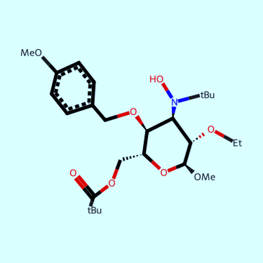 CCO[C@@H]1[C@@H](OC)O[C@H](COC(=O)C(C)(C)C)[C@@H](OCc2ccc(OC)cc2)[C@H]1N(O)C(C)(C)C